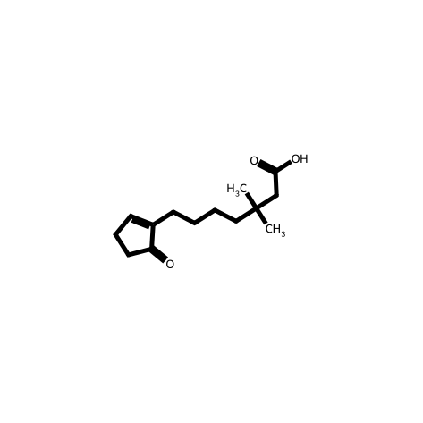 CC(C)(CCCCC1=CCCC1=O)CC(=O)O